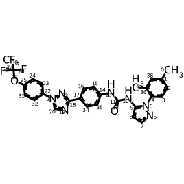 Cc1ccc(-n2nccc2NC(=O)Nc2ccc(-c3ncn(-c4ccc(OC(F)(F)C(F)(F)F)cc4)n3)cc2)c(C)c1